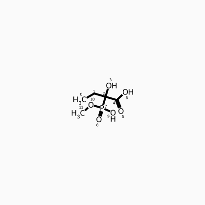 CCC(O)(C(=O)O)P(=O)(O)OC